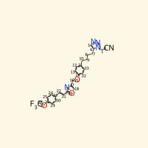 N#CCn1nncc1CCCCc1ccc(OCc2coc(C=Cc3ccc(OC(F)(F)F)cc3)n2)cc1